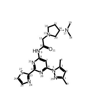 Cc1cc(C)n(-c2cc(NC(=O)CN3CC[C@H](N(C)C)C3)nc(-c3nccs3)n2)n1